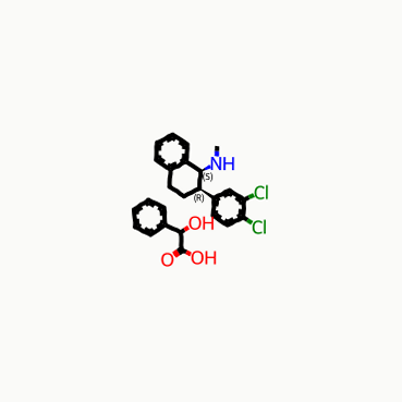 CN[C@@H]1c2ccccc2CC[C@@H]1c1ccc(Cl)c(Cl)c1.O=C(O)C(O)c1ccccc1